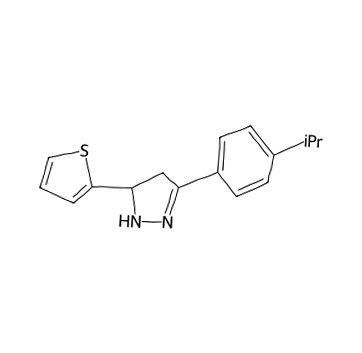 CC(C)c1ccc(C2=NNC(c3cccs3)C2)cc1